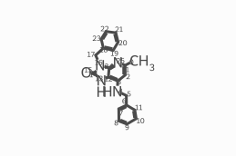 Cc1cc(NCc2ccccc2)c2[nH]c(=O)n(Cc3ccccc3)c2n1